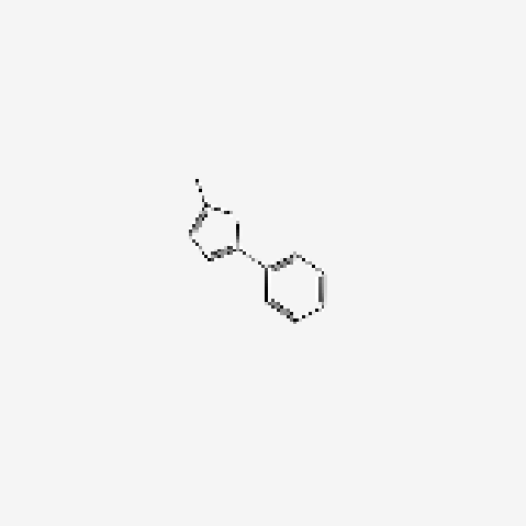 Clc1ccc(-c2[c]cccc2)s1